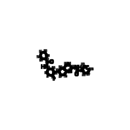 Cc1ccc(NC(=O)c2ccccc2)cc1-c1ccc2nc(NC(=O)c3ccccc3)ncc2c1